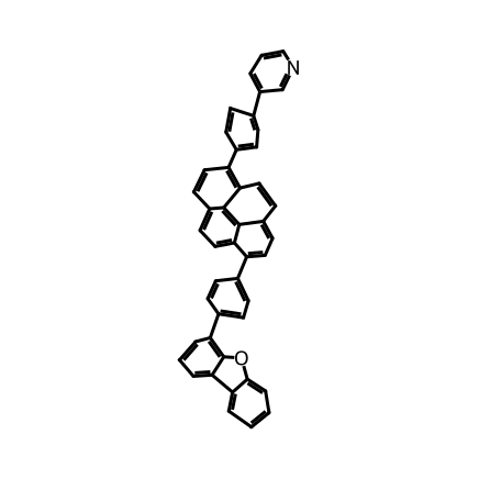 c1cncc(-c2ccc(-c3ccc4ccc5c(-c6ccc(-c7cccc8c7oc7ccccc78)cc6)ccc6ccc3c4c65)cc2)c1